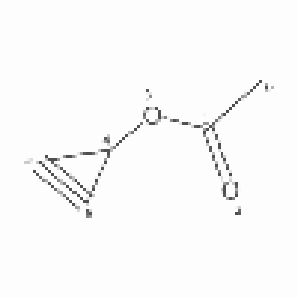 CC(=O)OC1C#C1